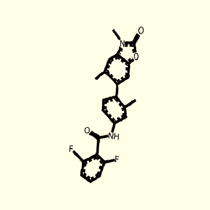 Cc1cc(NC(=O)c2c(F)cccc2F)ccc1-c1cc2oc(=O)n(C)c2cc1C